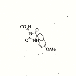 COc1ccc2c(c1)CCC21NC(=O)N(CC(=O)O)C1=O